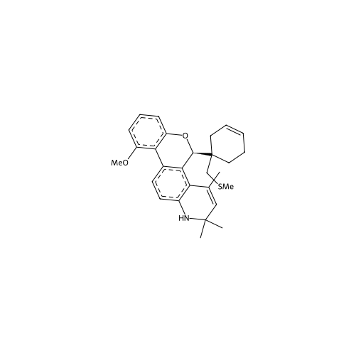 COc1cccc2c1-c1ccc3c(c1[C@H](C1(CSC)CC=CCC1)O2)C(C)=CC(C)(C)N3